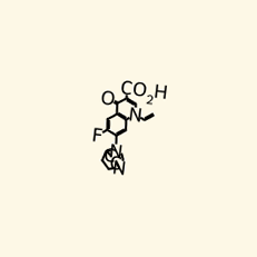 C=Cn1cc(C(=O)O)c(=O)c2cc(F)c(N3CCN4CCC3CC4)cc21